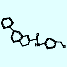 O=C(Nc1ccc(CCl)cc1)C1=Cc2cc(-c3ccccc3)ccc2CC1